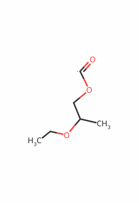 CCOC(C)CO[C]=O